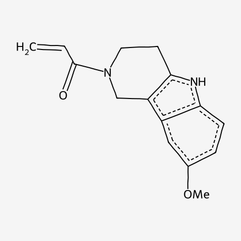 C=CC(=O)N1CCc2[nH]c3ccc(OC)cc3c2C1